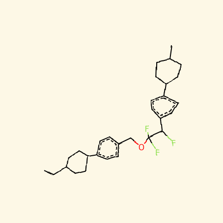 CCC1CCC(c2ccc(COC(F)(F)C(F)c3ccc(C4CCC(C)CC4)cc3)cc2)CC1